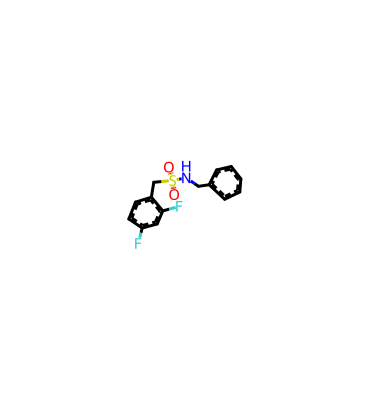 O=S(=O)(Cc1ccc(F)cc1F)NCc1ccccc1